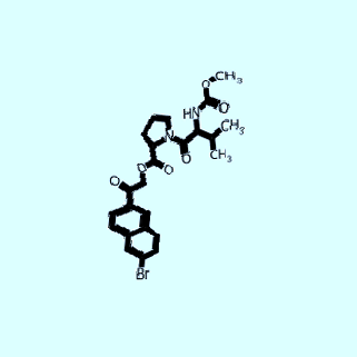 COC(=O)NC(C(=O)N1CCCC1C(=O)OCC(=O)c1ccc2cc(Br)ccc2c1)C(C)C